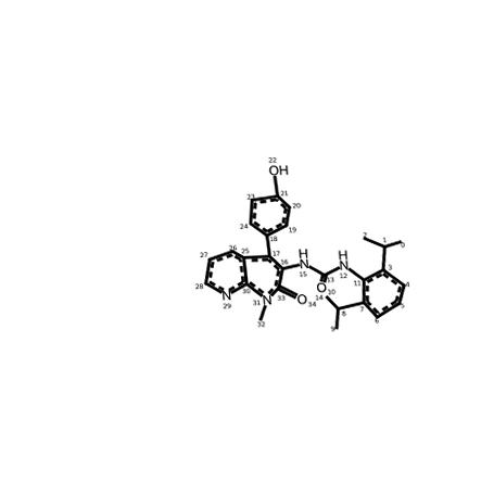 CC(C)c1cccc(C(C)C)c1NC(=O)Nc1c(-c2ccc(O)cc2)c2cccnc2n(C)c1=O